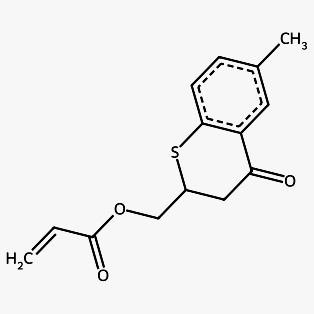 C=CC(=O)OCC1CC(=O)c2cc(C)ccc2S1